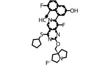 C#Cc1c(F)ccc2cc(O)cc(-c3ncc4c(SC5CCCC5)nc(OC[C@@]56CCCN5C[C@H](F)C6)nc4c3F)c12